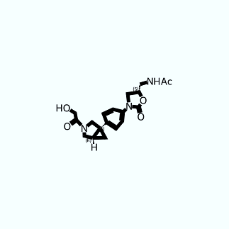 CC(=O)NC[C@H]1CN(c2ccc([C@]34C[C@H]3CN(C(=O)CO)C4)cc2)C(=O)O1